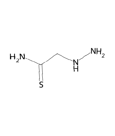 NNCC(N)=S